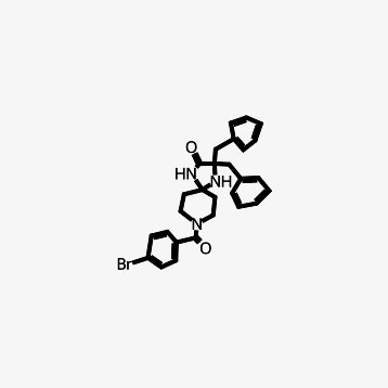 O=C(c1ccc(Br)cc1)N1CCC2(CC1)NC(=O)C(Cc1ccccc1)(Cc1ccccc1)N2